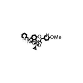 COc1ccc(C(Oc2ccc3c(cnn3-c3ccccn3)c2)C(C)NS(=O)(=O)C2CC2)cn1